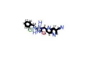 N#Cc1cnc2ccc(/C=C3/NC(NCc4ccccc4Cl)=NC3=O)nc2c1